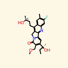 CC[C@](C)(O)c1cc2n(c(=O)c1COC)Cc1c-2nc2cc(F)c(C)cc2c1CC[C@H](C)O